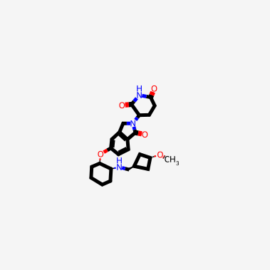 CO[C@H]1C[C@H](CN[C@@H]2CCCC[C@@H]2Oc2ccc3c(c2)CN(C2CCC(=O)NC2=O)C3=O)C1